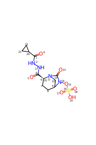 O=C(NNC(=O)[C@@H]1CCC2CN1C(=O)N2OS(=O)(=O)O)C1CC1